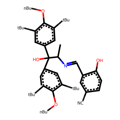 CCCCOc1c(C(C)(C)C)cc(C(O)(c2cc(C(C)(C)C)c(OCCCC)c(C(C)(C)C)c2)C(C)N=Cc2cc(C#N)ccc2O)cc1C(C)(C)C